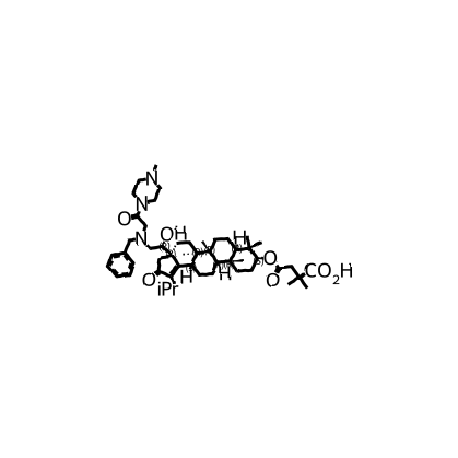 CC(C)C1=C2[C@H]3CC[C@@H]4[C@@]5(C)CC[C@H](OC(=O)CC(C)(C)C(=O)O)C(C)(C)[C@@H]5CC[C@@]4(C)[C@]3(C)CC[C@@]2([C@@H](O)CN(CC(=O)N2CCN(C)CC2)Cc2ccccc2)CC1=O